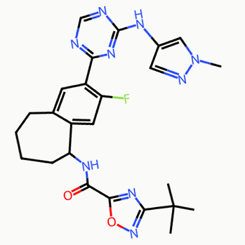 Cn1cc(Nc2ncnc(-c3cc4c(cc3F)C(NC(=O)c3nc(C(C)(C)C)no3)CCCC4)n2)cn1